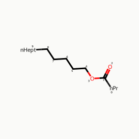 C[CH]CC(=O)OCCCCCCCCCCCC